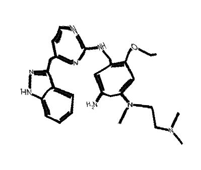 COc1cc(N(C)CCN(C)C)c(N)cc1Nc1nccc(-c2n[nH]c3ccccc23)n1